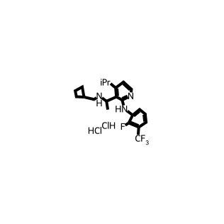 CC(C)c1ccnc(Nc2cccc(C(F)(F)F)c2F)c1C(C)NCC1CCC1.Cl.Cl